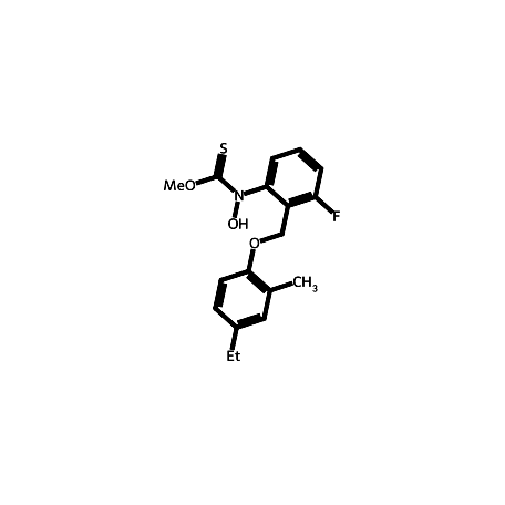 CCc1ccc(OCc2c(F)cccc2N(O)C(=S)OC)c(C)c1